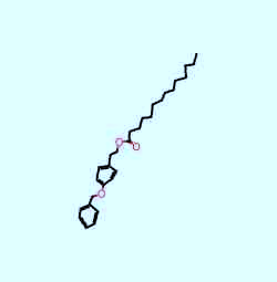 CCCCCCCCCCCCCC(=O)OCCc1ccc(OCc2ccccc2)cc1